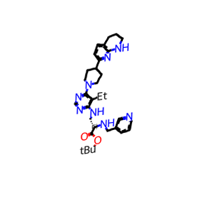 CCc1c(NC[C@H](NCc2cccnc2)C(=O)OC(C)(C)C)ncnc1N1CCC(c2ccc3c(n2)NCCC3)CC1